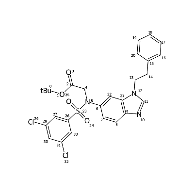 CC(C)(C)OC(=O)CN(c1ccc2ncn(CCc3ccccc3)c2c1)S(=O)(=O)c1cc(Cl)cc(Cl)c1